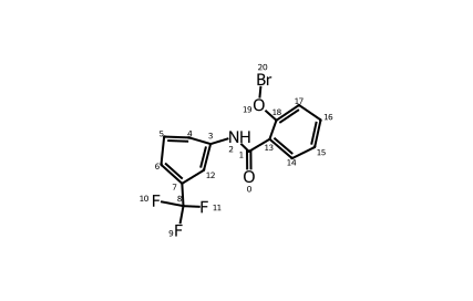 O=C(Nc1cccc(C(F)(F)F)c1)c1ccccc1OBr